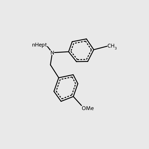 CCCCCCCN(Cc1ccc(OC)cc1)c1ccc(C)cc1